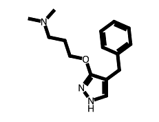 CN(C)CCCOc1n[nH]cc1Cc1ccccc1